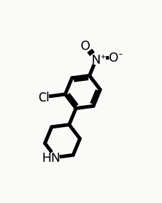 O=[N+]([O-])c1ccc(C2CCNCC2)c(Cl)c1